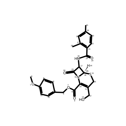 COc1ccc(COC(=O)C2=C(CO)CS[C@@H]3C(NC(=O)c4ccc(C)cc4C)C(=O)N23)cc1